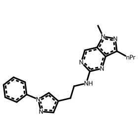 CCCc1nn(C)c2cnc(NCCc3cnn(-c4ccccc4)c3)nc12